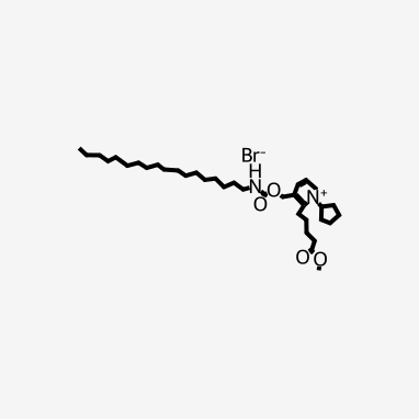 CCCCCCCCCCCCCCCCCCNC(=O)OCc1ccc[n+](C2CCCC2)c1CCCCC(=O)OC.[Br-]